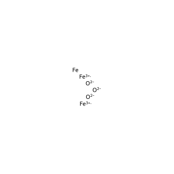 [Fe+3].[Fe+3].[Fe].[O-2].[O-2].[O-2]